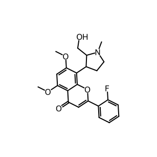 COc1cc(OC)c2c(=O)cc(-c3ccccc3F)oc2c1C1CCN(C)C1CO